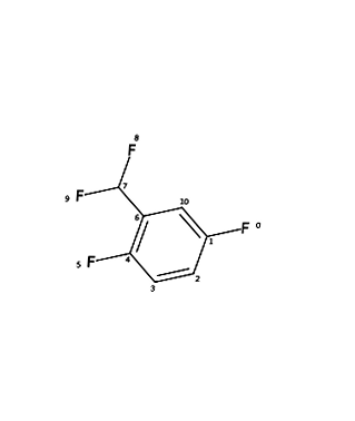 Fc1ccc(F)c(C(F)F)c1